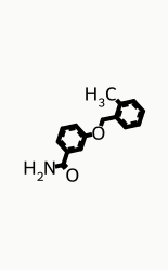 Cc1ccccc1COc1cccc(C(N)=O)c1